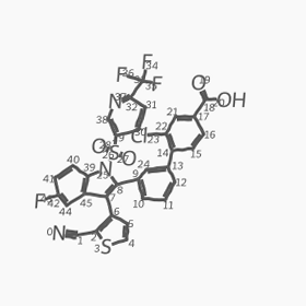 N#Cc1sccc1-c1c(-c2cccc(-c3ccc(C(=O)O)cc3Cl)c2)n(S(=O)(=O)c2ccc(C(F)(F)F)nc2)c2ccc(F)cc12